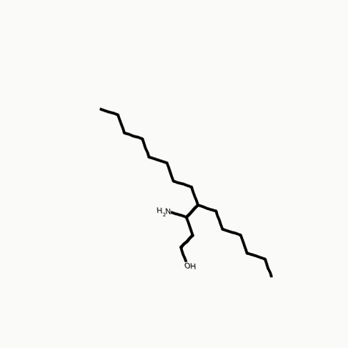 CCCCCCCCC(CCCCCC)C(N)CCO